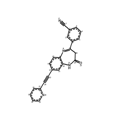 N#Cc1cccc(C2=Nc3ccc(C#Cc4ccccn4)cc3NC(=O)C2)c1